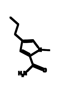 CCCc1cc(C(N)=O)n(C)c1